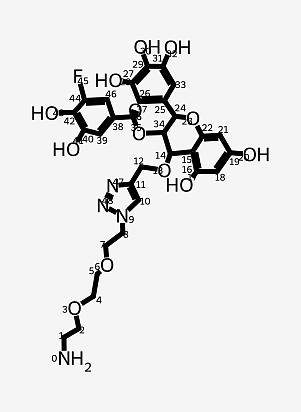 NCCOCCOCCn1cc(COC2c3c(O)cc(O)cc3OC(c3cc(O)c(O)c(O)c3)C2OC(=O)c2cc(O)c(O)c(F)c2)nn1